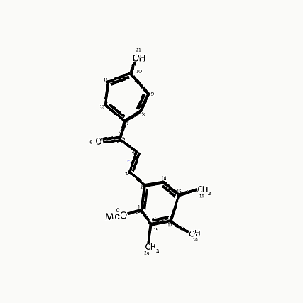 COc1c(/C=C/C(=O)c2ccc(O)cc2)cc(C)c(O)c1C